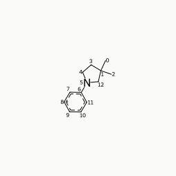 CC1(C)CCN(c2c[c]ccc2)C1